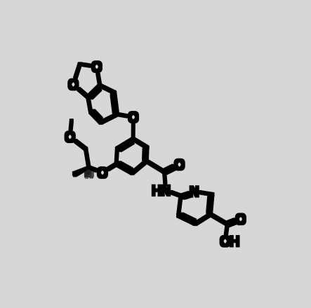 COC[C@H](C)Oc1cc(Oc2ccc3c(c2)OCO3)cc(C(=O)Nc2ccc(C(=O)O)cn2)c1